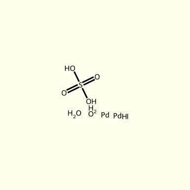 I.O.O.O=S(=O)(O)O.[Pd].[Pd]